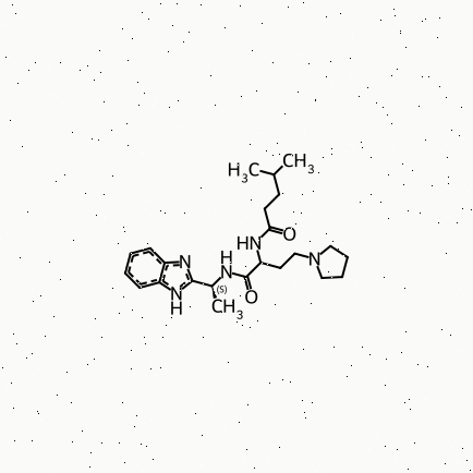 CC(C)CCC(=O)NC(CCN1CCCC1)C(=O)N[C@@H](C)c1nc2ccccc2[nH]1